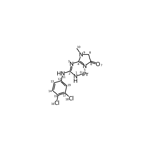 CC(C)N/C(=N\C1=NC(=O)CN1C)Nc1ccc(Cl)c(Cl)c1